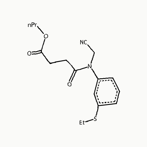 CCCOC(=O)CCC(=O)N(CC#N)c1cccc(SCC)c1